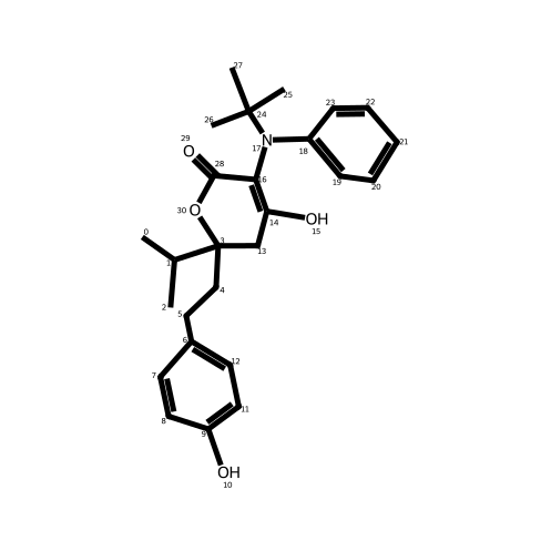 CC(C)C1(CCc2ccc(O)cc2)CC(O)=C(N(c2ccccc2)C(C)(C)C)C(=O)O1